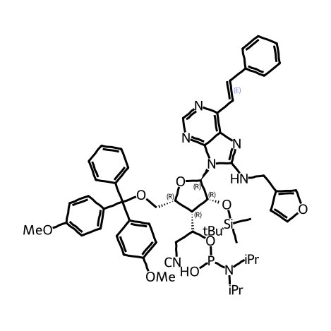 COc1ccc(C(OC[C@@H]2O[C@@H](n3c(NCc4ccoc4)nc4c(/C=C/c5ccccc5)ncnc43)[C@H](O[Si](C)(C)C(C)(C)C)[C@@H]2C(CC#N)OP(O)N(C(C)C)C(C)C)(c2ccccc2)c2ccc(OC)cc2)cc1